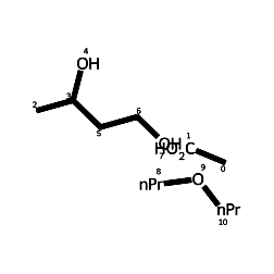 CC(=O)O.CC(O)CCO.CCCOCCC